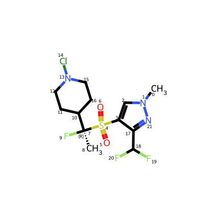 Cn1cc(S(=O)(=O)[C@@](C)(F)C2CCN(Cl)CC2)c(C(F)F)n1